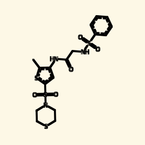 Cc1sc(S(=O)(=O)N2CCSCC2)cc1NC(=O)CNS(=O)(=O)c1ccccc1